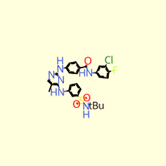 Cc1cnc(Nc2ccc(C(=O)Nc3ccc(F)c(Cl)c3)cc2)nc1Nc1cccc(S(=O)(=O)NC(C)(C)C)c1